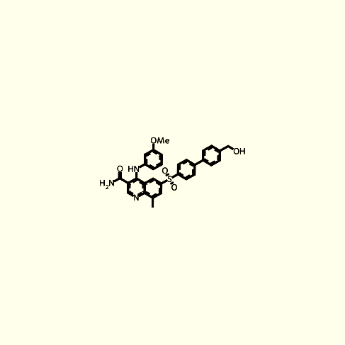 COc1cccc(Nc2c(C(N)=O)cnc3c(C)cc(S(=O)(=O)c4ccc(-c5ccc(CO)cc5)cc4)cc23)c1